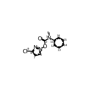 CN(C(=O)On1ccc(Cl)n1)c1ccccc1